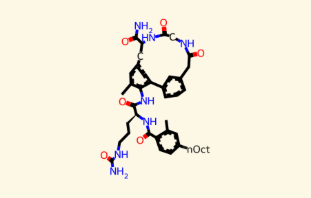 CCCCCCCCc1ccc(C(=O)N[C@@H](CCCNC(N)=O)C(=O)Nc2c(C)cc3cc2-c2cccc(c2)CC(=O)NCC(=O)NC(C(N)=O)C3)c(C)c1